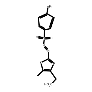 CCCc1ccc(S(=O)(=O)N=Nc2nc(CC(=O)O)c(C)s2)cc1